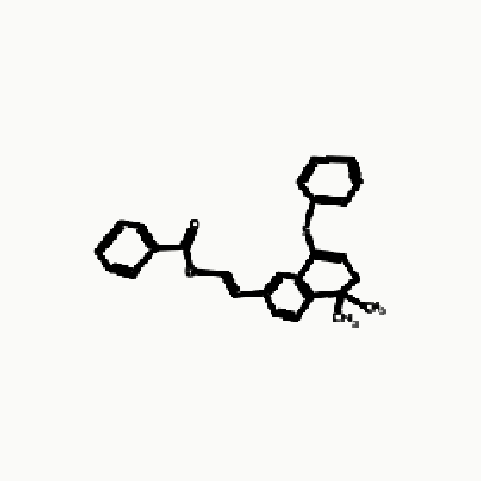 CC1(C)CC=C(Sc2ccccc2)c2cc(C=COC(=O)c3ccccc3)ccc21